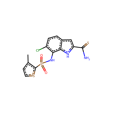 Cc1ccsc1S(=O)(=O)Nc1c(Cl)ccc2cc(C(N)=S)[nH]c12